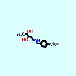 C=C(O)C(O)CCNCc1ccc(CCCCCCCCC)cc1